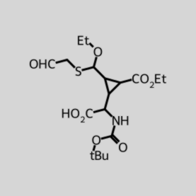 CCOC(=O)C1C(C(OCC)SCC=O)C1C(NC(=O)OC(C)(C)C)C(=O)O